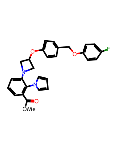 COC(=O)c1cccc(N2CC(Oc3ccc(COc4ccc(F)cc4)cc3)C2)c1-n1cccc1